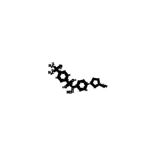 CCCN1CC[C@@H](c2ccc(NS(=O)(=O)c3ccc(C(C)(C)CC)cc3)cc2)C1.Cl